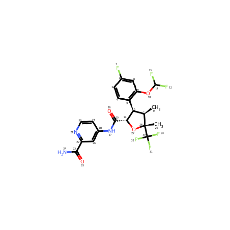 C[C@@H]1[C@H](c2ccc(F)cc2OC(F)F)[C@@H](C(=O)Nc2ccnc(C(N)=O)c2)O[C@@]1(C)C(F)(F)F